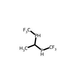 CC(PC(F)(F)F)PC(F)(F)F